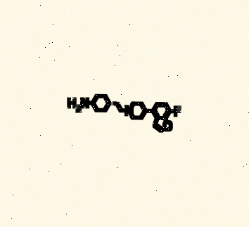 N[C@H]1CC[C@H](CCN2CCC(c3ccc(F)c4occc34)CC2)CC1